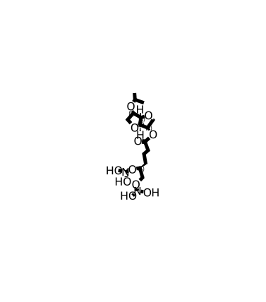 CC(C)O[C@@H]1CO[C@H]2[C@@H]1OC[C@H]2OC(=O)CCC[C@@H](CON(O)O)ON(O)O